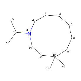 CC(C)N1CCCCCCC(C)(C)CC1